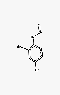 S=[C]Nc1ccc(Br)cc1Br